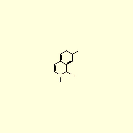 CC1C=C2C(=CC1)C=CN(C)C2Br